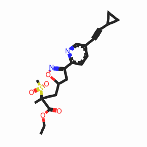 CCOC(=O)C(C)(CC1CC(c2ccc(C#CC3CC3)cn2)=NO1)S(C)(=O)=O